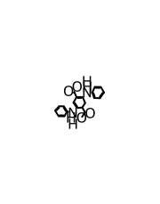 O=C(O)C1=C(Nc2ccccc2)CC(C(=O)O)C(Nc2ccccc2)=C1